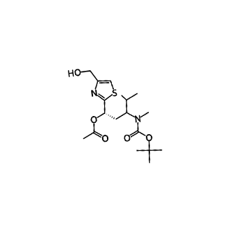 CC(=O)O[C@@H](CC(C(C)C)N(C)C(=O)OC(C)(C)C)c1nc(CO)cs1